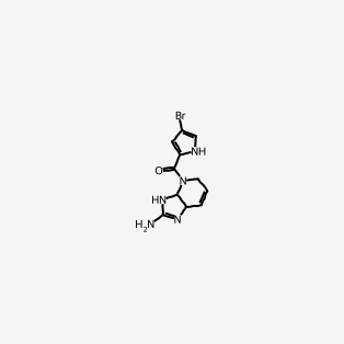 NC1=NC2C=CCN(C(=O)c3cc(Br)c[nH]3)C2N1